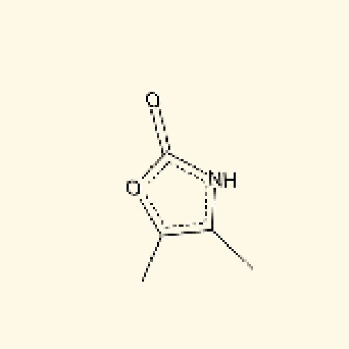 Cc1[nH]c(=O)oc1C